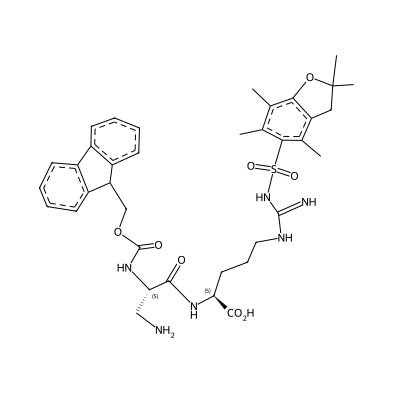 Cc1c(C)c(S(=O)(=O)NC(=N)NCCC[C@H](NC(=O)[C@H](CN)NC(=O)OCC2c3ccccc3-c3ccccc32)C(=O)O)c(C)c2c1OC(C)(C)C2